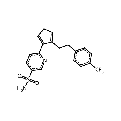 NS(=O)(=O)c1ccc(C2=CCC=C2CCc2ccc(C(F)(F)F)cc2)nc1